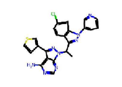 CC(c1nn(-c2cccnc2)c2cc(Cl)ccc12)n1nc(-c2ccsc2)c2c(N)ncnc21